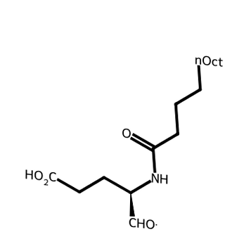 CCCCCCCCCCCC(=O)N[C@@H]([C]=O)CCC(=O)O